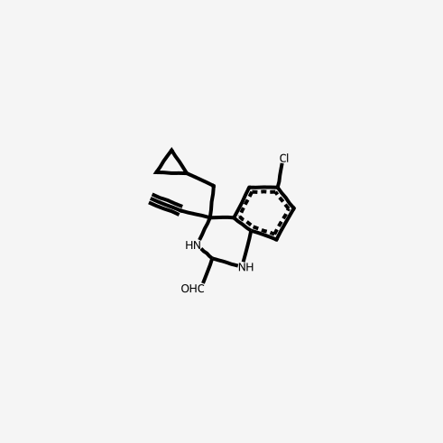 C#CC1(CC2CC2)NC(C=O)Nc2ccc(Cl)cc21